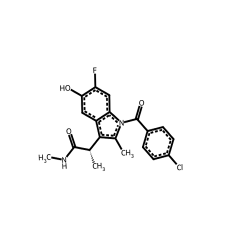 CNC(=O)[C@@H](C)c1c(C)n(C(=O)c2ccc(Cl)cc2)c2cc(F)c(O)cc12